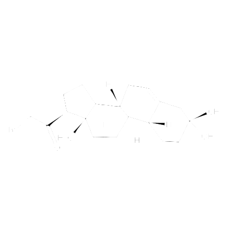 C[C@@]1(O)CC[C@H]2C(=CC[C@@H]3[C@@H]2CC[C@]2(C)[C@@H](C(=O)CBr)CC[C@@H]32)C1